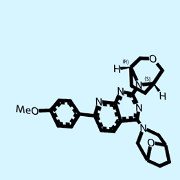 COc1ccc(-c2ccc3c(N4CC5CCC(C4)O5)nc(N4[C@@H]5CC[C@H]4COC5)nc3n2)cc1